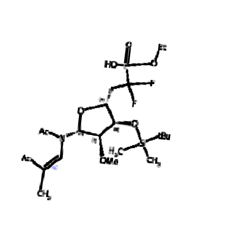 CCOP(=O)(O)C(F)(F)C[C@H]1O[C@@H](N(/C=C(/C)C(C)=O)C(C)=O)[C@H](OC)[C@@H]1O[Si](C)(C)C(C)(C)C